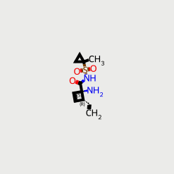 C=C[C@@H]1C=C[C@]1(N)C(=O)NS(=O)(=O)C1(C)CC1